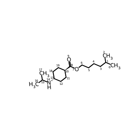 CC(C)CCCCOC(=O)[C@H]1CC[C@H](NC(C)C)CC1